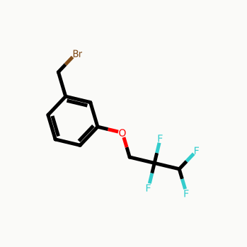 FC(F)C(F)(F)COc1cccc(CBr)c1